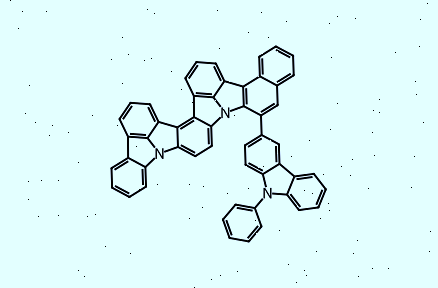 c1ccc(-n2c3ccccc3c3cc(-c4cc5ccccc5c5c6cccc7c8c9c%10cccc%11c%12ccccc%12n(c9ccc8n(c45)c76)c%11%10)ccc32)cc1